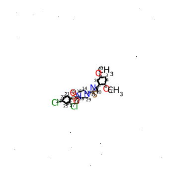 COc1ccc(OC)c(-c2csc(N3CCN(S(=O)(=O)c4ccc(Cl)cc4Cl)CC3)n2)c1